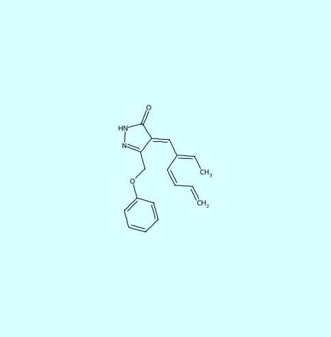 C=C\C=C/C(=C\C)/C=C1/C(=O)NN=C1COc1ccccc1